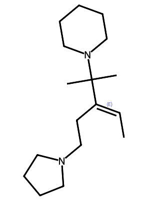 C/C=C(\CCN1CCCC1)C(C)(C)N1CCCCC1